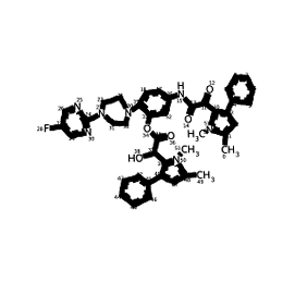 Cc1cc(-c2ccccc2)c(C(=O)C(=O)Nc2ccc(N3CCN(c4ncc(F)cn4)CC3)c(OC(=O)C(O)c3c(-c4ccccc4)cc(C)n3C)c2)n1C